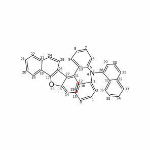 c1ccc(N(c2ccccc2-c2cccc3oc4c5ccccc5ccc4c23)c2cccc3ccccc23)cc1